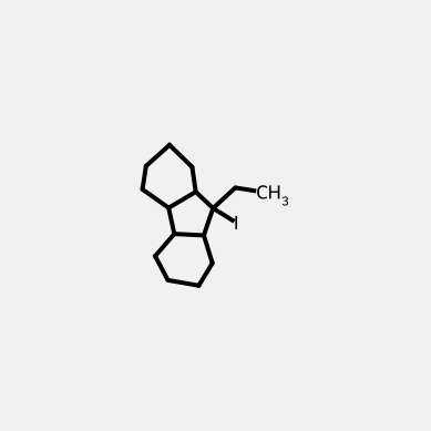 CCC1(I)C2CCCCC2C2CCCCC21